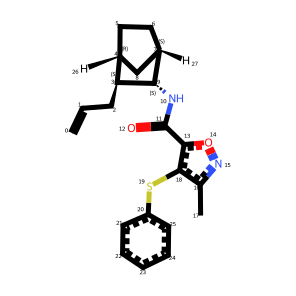 C=CC[C@H]1[C@@H]2CC[C@@H](C2)[C@@H]1NC(=O)c1onc(C)c1Sc1ccccc1